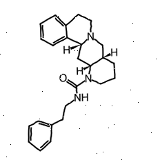 O=C(NCCc1ccccc1)N1CCC[C@H]2CN3CCc4ccccc4[C@H]3C[C@H]21